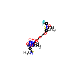 Cc1ncsc1-c1ccc(CNC(=O)[C@@H]2C[C@@H](O)CN2C(=O)C(NC(=O)COCCCOCCCCCOc2ccc(N3C(=S)N(c4cccc(C(F)(F)F)c4)C(=O)C3(C)C)cc2)C(C)(C)C)cc1